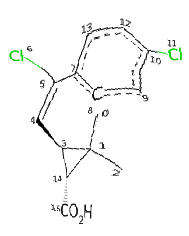 CC1(C)[C@H](/C=C(/Cl)c2ccc(Cl)cc2)[C@H]1C(=O)O